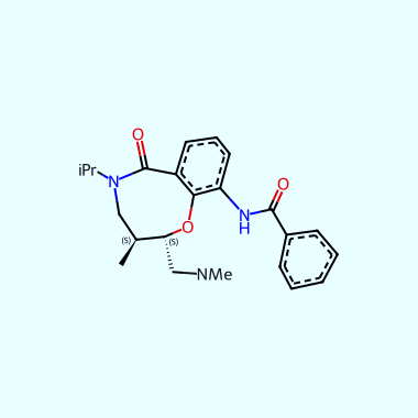 CNC[C@H]1Oc2c(NC(=O)c3ccccc3)cccc2C(=O)N(C(C)C)C[C@@H]1C